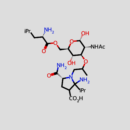 CC(=O)N[C@@H]1[C@@H](OC(C)CN2[C@@H](C(N)=O)CC(C(=O)O)C2(N)C(C)C)[C@H](O)[C@@H](COC(=O)[C@@H](N)CC(C)C)O[C@@H]1O